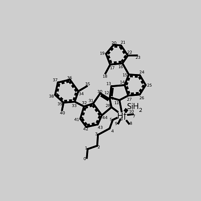 CCCCC[CH2][Hf]([CH3])([CH3])([CH3])(=[SiH2])([CH]1C=Cc2c(-c3c(C)cccc3C)cccc21)[CH]1C=Cc2c(-c3c(C)cccc3C)cccc21